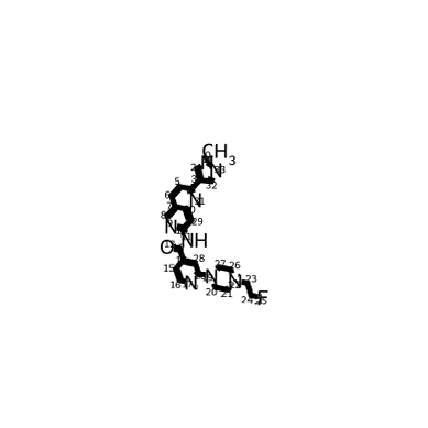 Cn1cc(-c2ccc3cnc(NC(=O)c4ccnc(N5CCN(CCF)CC5)c4)cc3n2)cn1